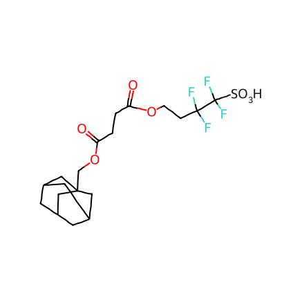 O=C(CCC(=O)OCC12CC3CC(CC(C3)C1)C2)OCCC(F)(F)C(F)(F)S(=O)(=O)O